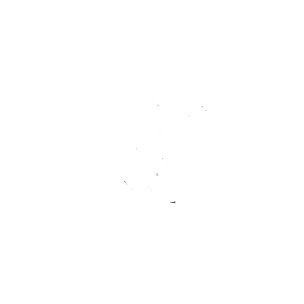 Cc1cc(Nc2cc(C3CCOC3)nc(N(C)[C@H]3C[C@H]4CCC[C@@H](C3)N4C(=O)CC3CC3)n2)n[nH]1